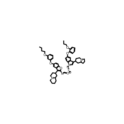 CCCCOc1cccc(Oc2ccc3oc(N=C=O)c(C4CCN5CCCCC5C4)c3c2)c1.CCCOc1ccccc1Oc1ccc2c(c1)c(C1CCN3CCCC3C1)cn2N=C=O